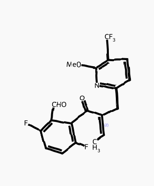 C/C=C(/Cc1ccc(C(F)(F)F)c(OC)n1)C(=O)c1c(F)ccc(F)c1C=O